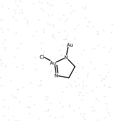 [Cl][Au]1=[N]CC[N]1[Au]